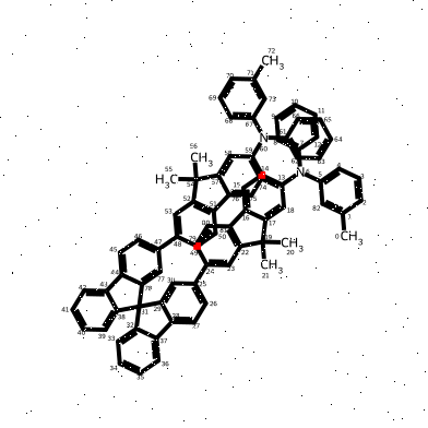 Cc1cccc(N(c2ccccc2)c2ccc3c(c2)C(C)(C)c2cc(-c4ccc5c(c4)C4(c6ccccc6-5)c5ccccc5-c5ccc(-c6ccc7c(c6)C(C)(C)c6cc(N(c8ccccc8)c8cccc(C)c8)ccc6-7)cc54)ccc2-3)c1